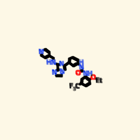 CCOc1ccc(C(F)(F)F)cc1NC(=O)Nc1cccc(-c2cn3ccnc3c(NCc3ccncc3)n2)c1